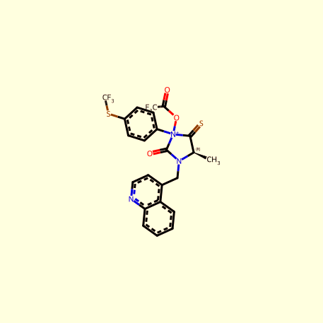 C[C@@H]1C(=S)[N+](OC(=O)C(F)(F)F)(c2ccc(SC(F)(F)F)cc2)C(=O)N1Cc1ccnc2ccccc12